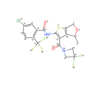 CC1OCc2sc(NC(=O)c3cc(Cl)ccc3C(F)(F)F)c(C(=O)N3CC(F)(F)C3)c21